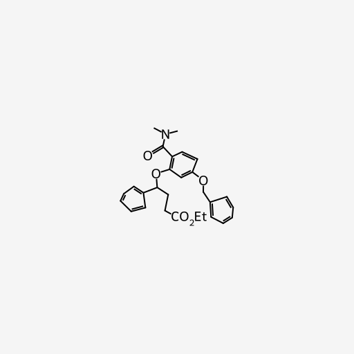 CCOC(=O)CCC(Oc1cc(OCc2ccccc2)ccc1C(=O)N(C)C)c1ccccc1